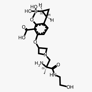 C[C@](N)(CN1CC(Oc2ccc3c(c2C(=O)O)O[B-](O)(O)[C@H]2C[C@@H]32)C1)C(=O)NCCO